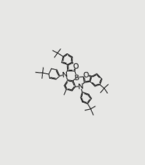 Cc1cc2c3c(c1)N(c1ccc(C(C)(C)C)cc1)c1c(oc4ccc(C(C)(C)C)cc14)B3c1oc3ccc(C(C)(C)C)cc3c1N2C1=CCC(C(C)(C)C)C=C1